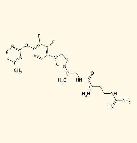 Cc1ccnc(Oc2ccc(N3C=CN([C@@H](C)CNC(=O)[C@@H](N)CCNC(=N)N)C3)c(F)c2F)n1